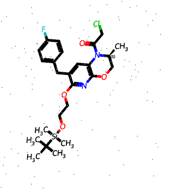 C[C@H]1COc2nc(OCCO[Si](C)(C)C(C)(C)C)c(Cc3ccc(F)cc3)cc2N1C(=O)CCl